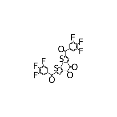 O=C(c1cc(F)c(F)c(F)c1)c1cc2c(s1)-c1sc(C(=O)c3cc(F)c(F)c(F)c3)cc1C(=O)C2=O